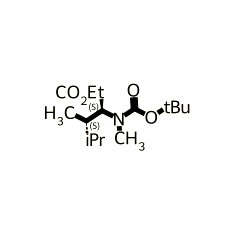 CCOC(=O)[C@H]([C@@H](C)C(C)C)N(C)C(=O)OC(C)(C)C